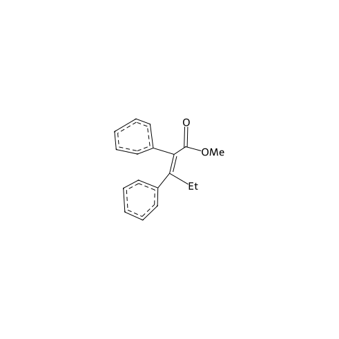 CCC(=C(C(=O)OC)c1ccccc1)c1ccccc1